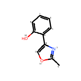 Cc1nc(-c2ccccc2O)co1